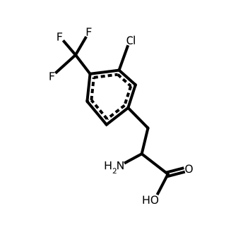 NC(Cc1ccc(C(F)(F)F)c(Cl)c1)C(=O)O